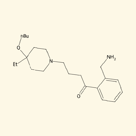 CCCCOC1(CC)CCN(CCCC(=O)c2ccccc2CN)CC1